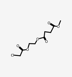 COC(=O)CCC(=O)OCCOC(=O)CCl